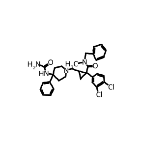 CN(Cc1ccccc1)C(=O)C1(c2ccc(Cl)c(Cl)c2)CC1CN1CCC(NC(N)=O)(c2ccccc2)CC1